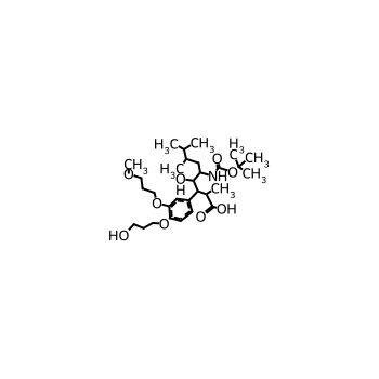 COCCCOc1cc(C(C(C)C(=O)O)C(O)C(CC(C)C(C)C)NC(=O)OC(C)(C)C)ccc1OCCCO